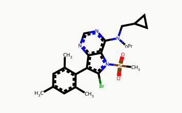 CCCN(CC1CC1)c1ncnc2c(-c3c(C)cc(C)cc3C)c(Br)n(S(C)(=O)=O)c12